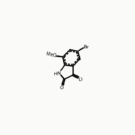 COc1cc(Br)cc2c1NC(=O)C2=O